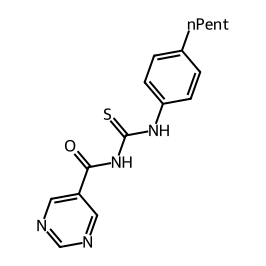 CCCCCc1ccc(NC(=S)NC(=O)c2cncnc2)cc1